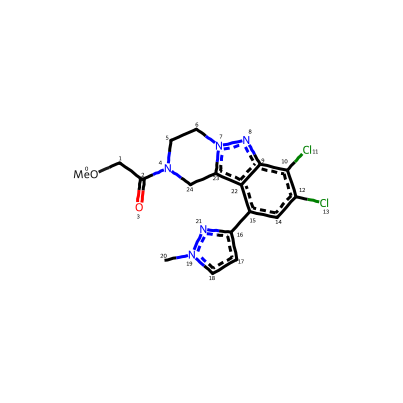 COCC(=O)N1CCn2nc3c(Cl)c(Cl)cc(-c4ccn(C)n4)c3c2C1